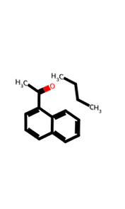 CC(=O)c1cccc2ccccc12.CCCC